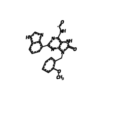 COc1ccccc1Cn1c(=O)[nH]c2c(N[C]=O)nc(-c3cccc4[nH]cnc34)nc21